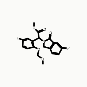 COCOc1ccc(F)cc1C(C(=O)OC)N1Cc2ccc(Br)cc2C1=O